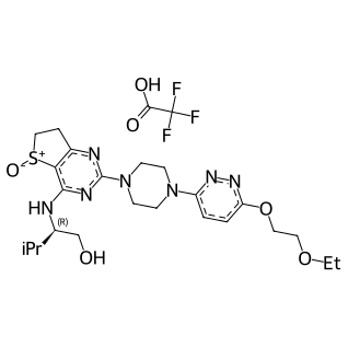 CCOCCOc1ccc(N2CCN(c3nc4c(c(N[C@@H](CO)C(C)C)n3)[S+]([O-])CC4)CC2)nn1.O=C(O)C(F)(F)F